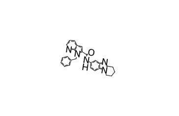 O=C(Nc1ccc2c(c1)nc1n2CCCC1)c1cc2cccnc2n1Cc1ccccc1